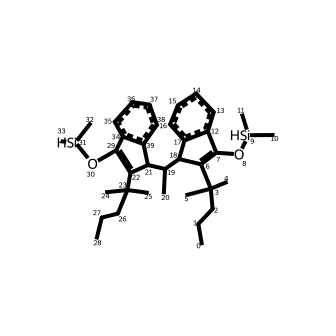 CCCC(C)(C)C1=C(O[SiH](C)C)c2ccccc2C1C(C)C1C(C(C)(C)CCC)=C(O[SiH](C)C)c2ccccc21